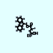 CC[C@H](O)C[C@H](C)C(=O)OCC1c2ccccc2-c2ccccc21